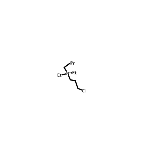 CC[N+](CC)(CCCCl)CC(C)C